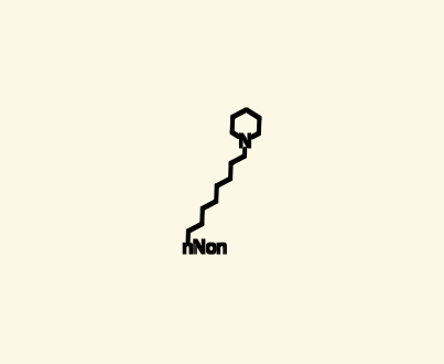 CCCCCCCCCCCCCCCCCN1CCCCC1